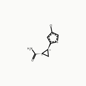 NC(=O)[C@H]1C[C@@H]1c1cc(Cl)cs1